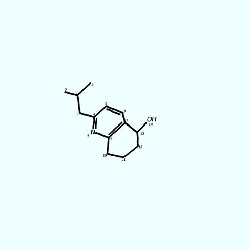 CC(C)Cc1ccc2c(n1)CCCC2O